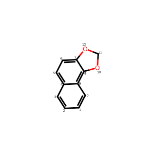 [c]1cccc2ccc3c(c12)OCO3